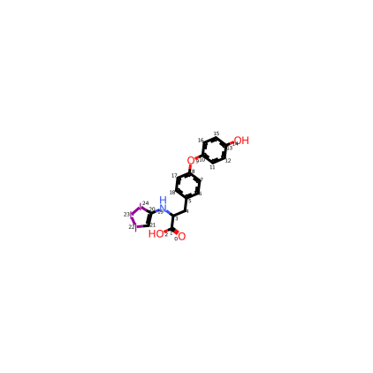 O=C(O)C(Cc1ccc(Oc2ccc(O)cc2)cc1)NC1=C[I][I][I]1